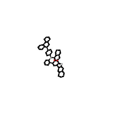 c1ccc(N(c2ccc(-c3cc4ccccc4c4ccccc34)cc2)c2cccc3ccccc23)c(-c2ccc3oc4cc5ccccc5cc4c3c2)c1